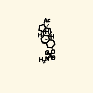 CC(=O)[C@H]1CC[C@H]2[C@@H]3CC=C4C[C@@H](OS(N)(=O)=O)CC[C@]4(C)[C@H]3CC[C@]12C